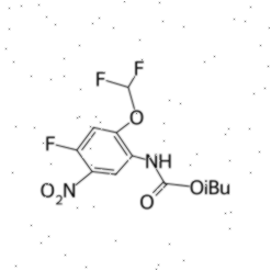 CC(C)COC(=O)Nc1cc([N+](=O)[O-])c(F)cc1OC(F)F